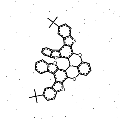 CC(C)(C)c1ccc2oc3c4c(c5oc6ccccc6c5c3c2c1)B1c2c(cccc2Oc2c1c1oc3ccccc3c1c1c2sc2ccc(C(C)(C)C)cc21)O4